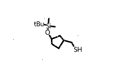 CC(C)(C)[Si](C)(C)OC1CCC(CS)C1